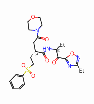 CCc1noc(C(=O)[C@H](CC)NC(=O)[C@H](CCS(=O)(=O)c2ccccc2)CC(=O)N2CCOCC2)n1